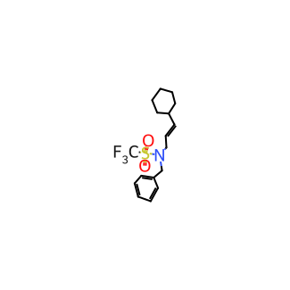 O=S(=O)(N(CC=CC1CCCCC1)Cc1ccccc1)C(F)(F)F